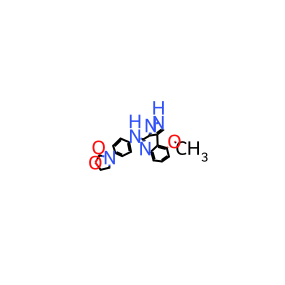 COc1cccc2nc(Nc3ccc(N4CCOC4=O)cc3)c3n[nH]cc3c12